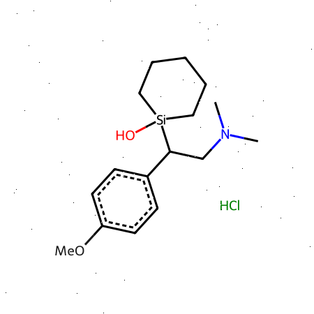 COc1ccc(C(CN(C)C)[Si]2(O)CCCCC2)cc1.Cl